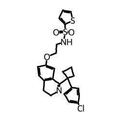 O=S(=O)(NCCOc1ccc2c(c1)C(C1(c3ccc(Cl)cc3)CCC1)=NCC2)c1cccs1